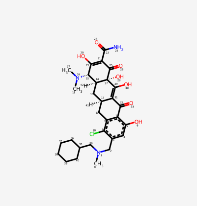 CN(Cc1cc(O)c2c(c1Cl)C[C@H]1C[C@H]3[C@H](N(C)C)C(O)=C(C(N)=O)C(=O)[C@@]3(O)C(O)=C1C2=O)CC1CCCCC1